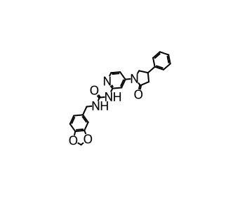 O=C(NCc1ccc2c(c1)OCO2)Nc1cc(N2CC(c3ccccc3)CC2=O)ccn1